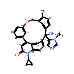 Cn1cncc1C1(N)c2ccc(C#N)c(c2)COc2cccc(c2)-c2cc(=O)n(C3CC3)c3ccc1cc23